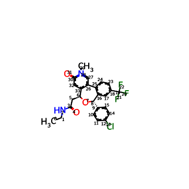 CCNC(=O)C[C@@H]1O[C@@H](c2ccc(Cl)cc2)c2cc(C(F)(F)F)ccc2-c2cn(C)c(=O)cc21